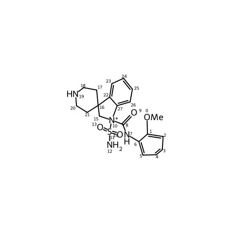 COc1ccccc1NC(=O)[N+]1(S(N)(=O)=O)CC2(CCNCC2)c2ccccc21